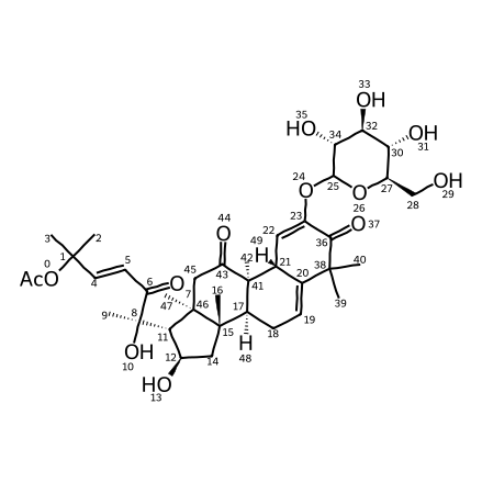 CC(=O)OC(C)(C)/C=C/C(=O)[C@](C)(O)[C@H]1[C@H](O)C[C@@]2(C)[C@@H]3CC=C4[C@@H](C=C(OC5O[C@H](CO)[C@@H](O)[C@H](O)[C@H]5O)C(=O)C4(C)C)[C@]3(C)C(=O)C[C@]12C